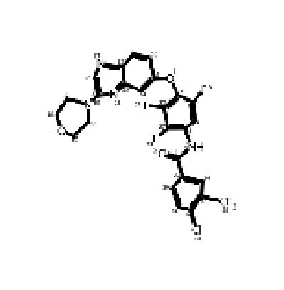 O=C(Nc1cc(F)c(Oc2ccc3ncc(N4CCOCC4)nc3c2)c(F)c1F)c1ccc(Cl)c(C(F)(F)F)c1